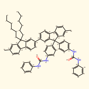 CCCCCCC1(CCCCCC)c2cc(C)ccc2-c2ccc(-c3ccc4c(c3)C(c3ccc(NC(=O)Nc5ccccc5)cc3)(c3ccc(NC(=O)Nc5ccccc5)cc3)c3cc(C)ccc3-4)cc21